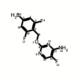 Bc1cc(F)c(COc2ncc(F)c(N)n2)c(F)c1